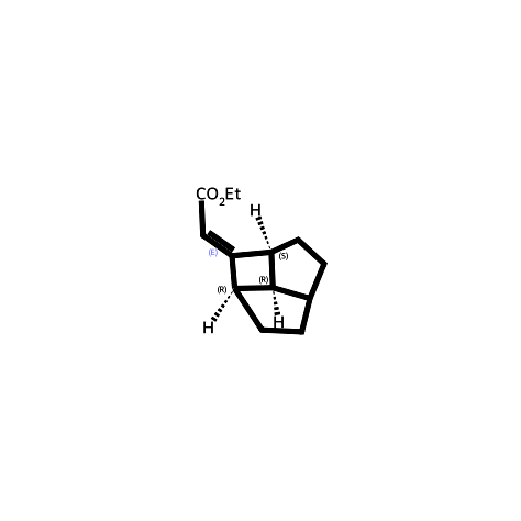 CCOC(=O)/C=C1\[C@H]2CCC3CC[C@@H]1[C@H]32